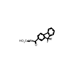 O=C(O)CNC(=O)c1ccc2c(c1)C(F)(F)c1ccccc1-2